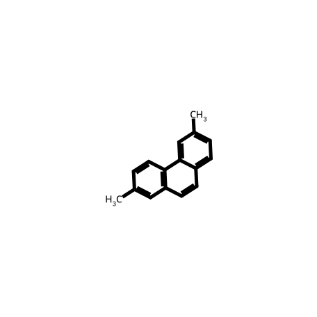 Cc1ccc2c(ccc3ccc(C)cc32)c1